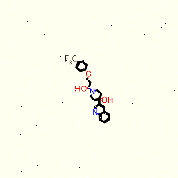 OC(CCOc1ccc(C(F)(F)F)cc1)N1CCC(O)(c2cnc3ccccc3c2)CC1